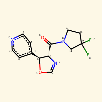 O=C([C@@H]1N=CO[C@H]1c1ccncc1)N1CCC(F)(F)C1